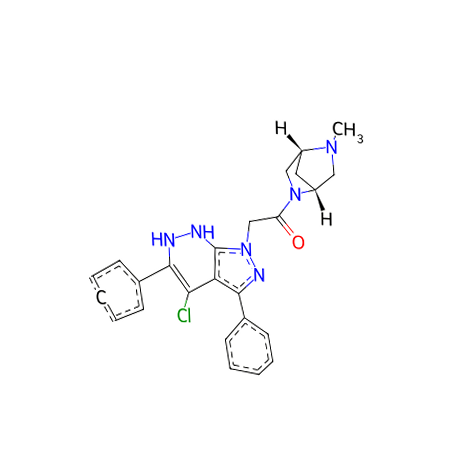 CN1C[C@H]2C[C@@H]1CN2C(=O)Cn1nc(-c2ccccc2)c2c1NNC(c1ccccc1)=C2Cl